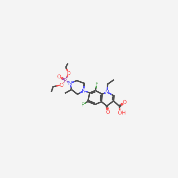 CCOP(=O)(OCC)N1CCN(c2c(F)cc3c(=O)c(C(=O)O)cn(CC)c3c2F)CC1C